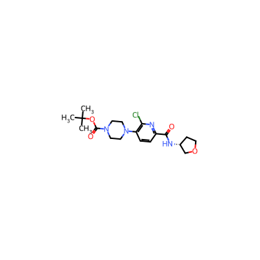 CC(C)(C)OC(=O)N1CCN(c2ccc(C(=O)N[C@@H]3CCOC3)nc2Cl)CC1